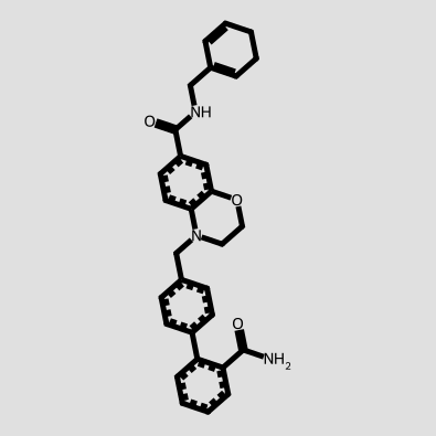 NC(=O)c1ccccc1-c1ccc(CN2CCOc3cc(C(=O)NCC4=CCCC=C4)ccc32)cc1